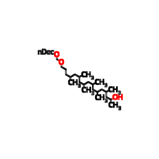 CCCCCCCCCCOCOCCCC(C)CC(C)CC(C)CC(C)CC(C)CC(C)CC(C)O